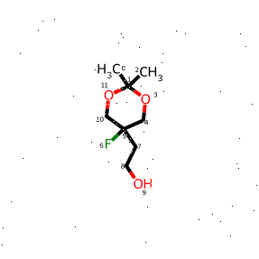 CC1(C)OCC(F)(CCO)CO1